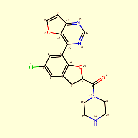 O=C(C1Cc2cc(Cl)cc(-c3ncnc4ccoc34)c2O1)N1CCNCC1